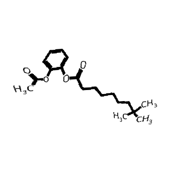 CC(=O)Oc1ccccc1OC(=O)CCCCCCC(C)(C)C